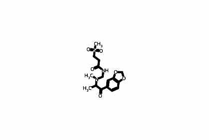 CC(C(=O)c1ccc2c(c1)OCO2)N(C)CNC(=O)CCS(C)(=O)=O